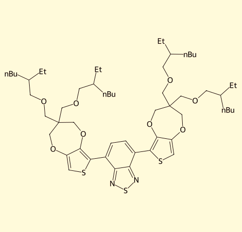 CCCCC(CC)COCC1(COCC(CC)CCCC)COc2csc(-c3ccc(-c4scc5c4OCC(COCC(CC)CCCC)(COCC(CC)CCCC)CO5)c4nsnc34)c2OC1